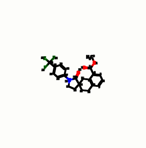 COC(=O)c1cccc2c1CC1(CC2)CCN(c2ccc(C(F)(F)F)cc2)C1=O